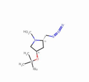 CC(C)(C)[Si](C)(C)O[C@@H]1C[C@@H](CN=[N+]=[N-])N(C(=O)O)C1